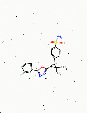 CC1(C)[C@@H](c2ccc(S(N)(=O)=O)cc2)[C@@H]1c1nnc(-c2cccc(F)c2)o1